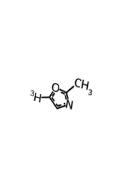 [3H]c1cnc(C)o1